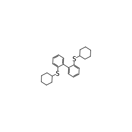 c1ccc(-c2ccccc2SC2CCCCC2)c(SC2CCCCC2)c1